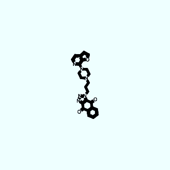 O=C1c2ccccc2C(=O)c2c1nnn2CCCN1CCN(c2nccc3ccoc23)CC1